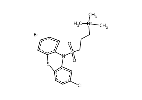 C[N+](C)(C)CCCS(=O)(=O)N1c2ccccc2Sc2ccc(Cl)cc21.[Br-]